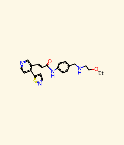 CCOCCNCc1ccc(NC(=O)/C=C/c2cnccc2-c2ccns2)cc1